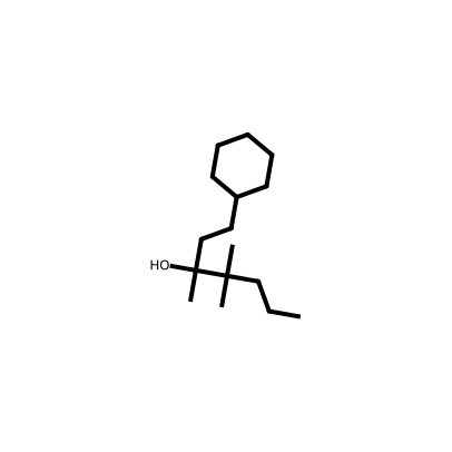 CCCC(C)(C)C(C)(O)CCC1CCCCC1